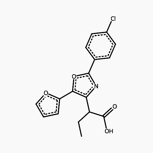 CCC(C(=O)O)c1nc(-c2ccc(Cl)cc2)oc1-c1ccco1